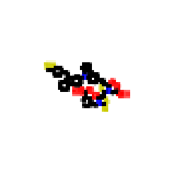 CCC(CC(C)C(=O)O)CN1C(=O)/C(=c2\s/c(=C\c3ccc4c(c3)C3CCCC3N4c3ccc4c(c3)/C(=C/c3ccc(CS)cc3)c3ccccc3-4)c(=O)n2CC(=O)O)SC1=S